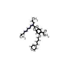 C=CC/C=C/C=C/C=C(/CC=C)C1Oc2cc(OCCCCN3CCOCC3)c(C(N)=O)cc2O1